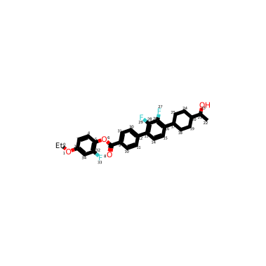 CCOc1ccc(OC(=O)c2ccc(-c3ccc(C4CCC(C(C)O)CC4)c(F)c3F)cc2)c(F)c1